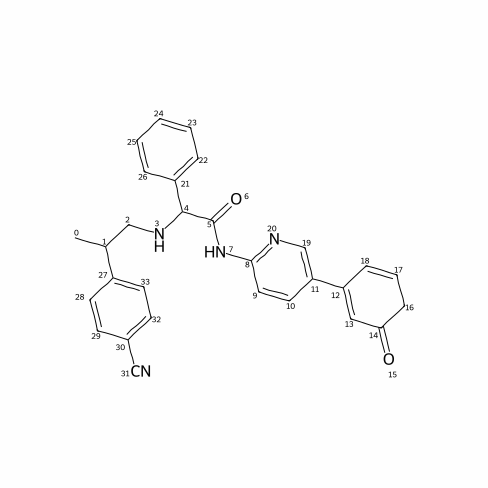 CC(CNC(C(=O)Nc1ccc(C2=CC(=O)CC=C2)cn1)c1ccccc1)c1ccc(C#N)cc1